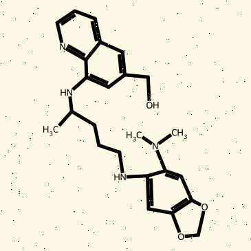 CC(CCCNc1cc2c(cc1N(C)C)OCO2)Nc1cc(CO)cc2cccnc12